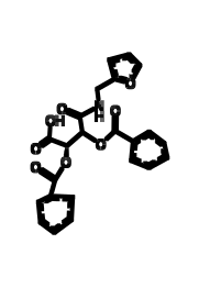 O=C(OC(C(=O)NCc1ccco1)[C@@H](OC(=O)c1ccccc1)C(=O)O)c1ccccc1